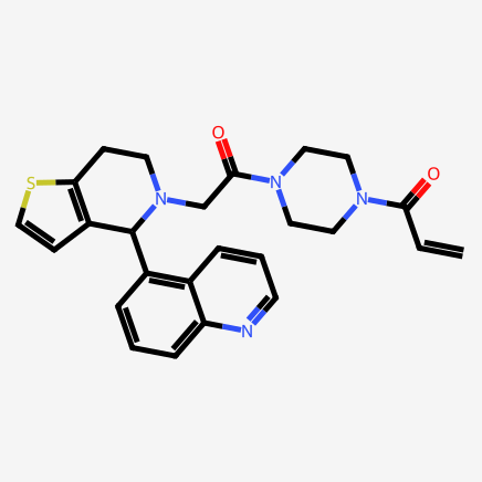 C=CC(=O)N1CCN(C(=O)CN2CCc3sccc3C2c2cccc3ncccc23)CC1